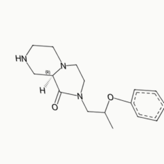 CC(CN1CCN2CCNC[C@@H]2C1=O)Oc1ccccc1